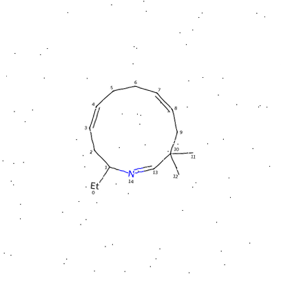 CCC1CC=CCCC=CCC(C)(C)C=N1